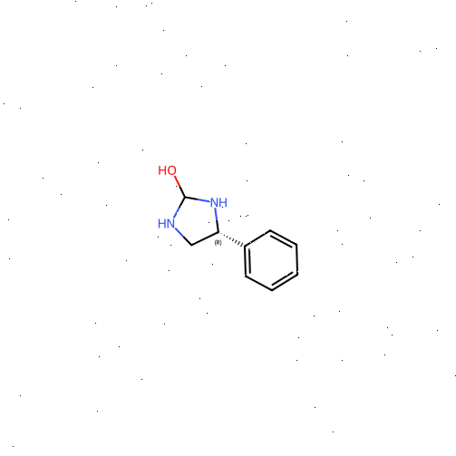 OC1NC[C@@H](c2ccccc2)N1